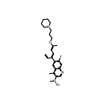 C=C/C(=C\C=C(/C)OCCCN1CCCCC1)c1cc2c(C)c(N(C)C(C)=O)cnc2cc1F